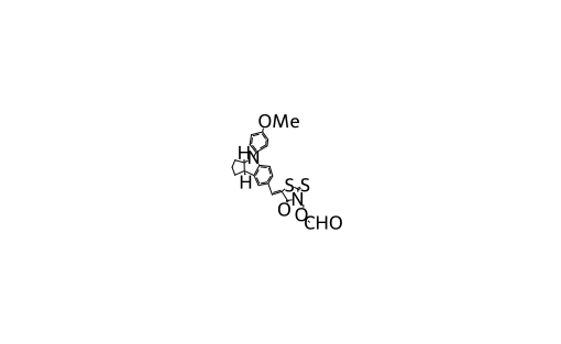 COc1ccc(N2c3ccc(/C=C4\SC(=S)N(COC=O)C4=O)cc3[C@@H]3CCC[C@@H]32)cc1